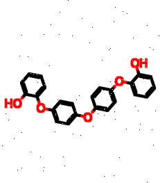 Oc1ccccc1Oc1ccc(Oc2ccc(Oc3ccccc3O)cc2)cc1